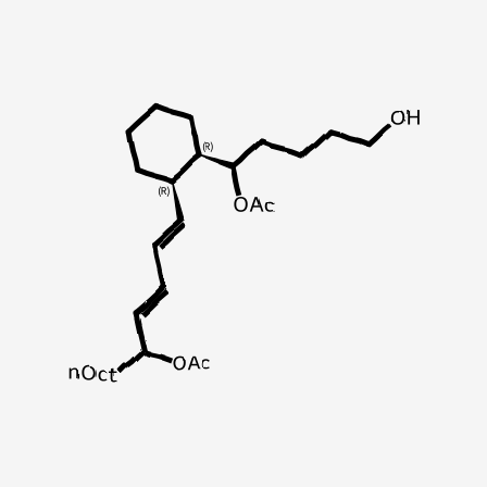 CCCCCCCCC(C=CC=C[C@H]1CCCC[C@H]1C(CCCCO)OC(C)=O)OC(C)=O